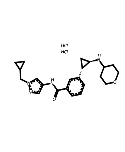 Cl.Cl.O=C(Nc1cnn(CC2CC2)c1)c1cccc([C@@H]2C[C@H]2NC2CCOCC2)c1